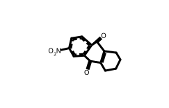 O=C1C2=C(CCCC2)C(=O)c2cc([N+](=O)[O-])ccc21